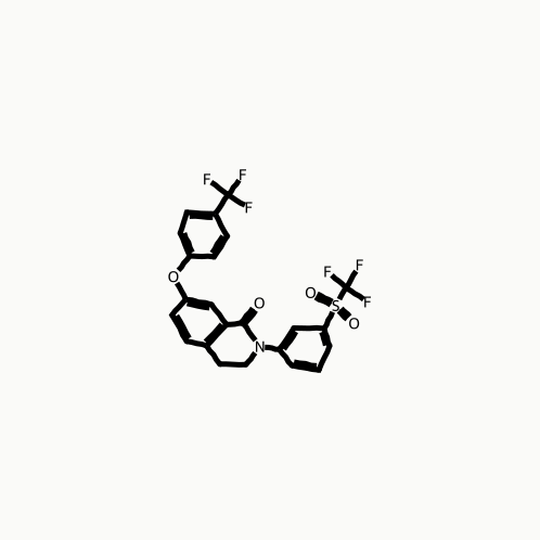 O=C1c2cc(Oc3ccc(C(F)(F)F)cc3)ccc2CCN1c1cccc(S(=O)(=O)C(F)(F)F)c1